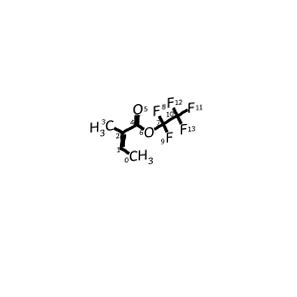 CC=C(C)C(=O)OC(F)(F)C(F)(F)F